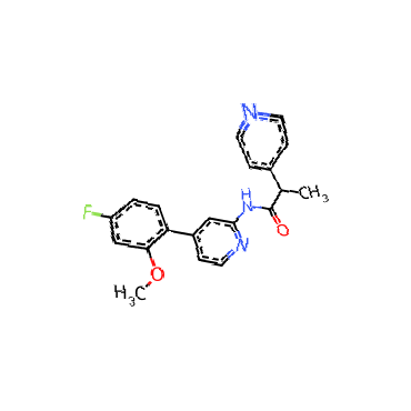 COc1cc(F)ccc1-c1ccnc(NC(=O)C(C)c2ccncc2)c1